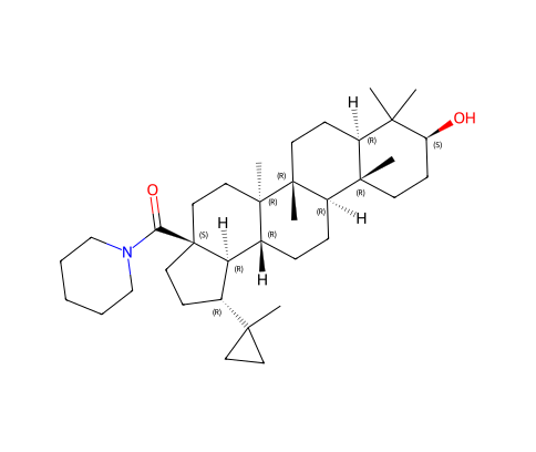 CC1([C@@H]2CC[C@]3(C(=O)N4CCCCC4)CC[C@]4(C)[C@H](CC[C@@H]5[C@@]6(C)CC[C@H](O)C(C)(C)[C@@H]6CC[C@]54C)[C@@H]23)CC1